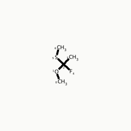 COC(C)(F)SC